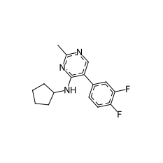 Cc1ncc(-c2ccc(F)c(F)c2)c(NC2CCCC2)n1